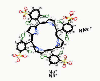 O=S(=O)([O-])c1ccc(Cl)c(C2=C3C=CC(=N3)C(c3c(Cl)ccc(S(=O)(=O)[O-])c3Cl)=C3C=CC(=N3)C(c3c(Cl)ccc(S(=O)(=O)[O-])c3Cl)=C3C=CC(=N3)C(c3c(Cl)ccc(S(=O)(=O)[O-])c3Cl)=C3C=CC2=N3)c1Cl.[Na+].[Na+].[Na+].[Na+]